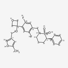 Cc1cc(COC2(c3cc(F)c(CN4CCC[C@H](c5ccccc5)S4(=O)=O)cc3F)COC2)no1